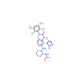 COc1cc(OC)c(Cl)c(N2Cc3cnc(N[C@@H]4CCCC[C@@H]4NC(C)=O)nc3N(Cc3cn[nH]c3)C2=O)c1Cl